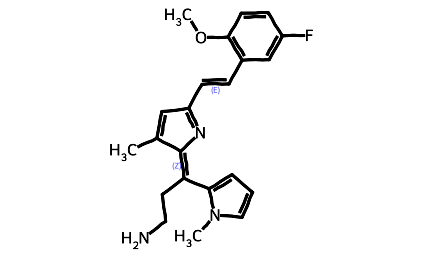 COc1ccc(F)cc1/C=C/C1=NC(=C(/CCN)c2cccn2C)/C(C)=C1